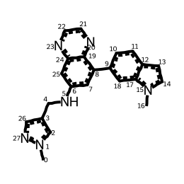 Cn1cc(CNc2cc(-c3ccc4ccn(C)c4c3)c3nccnc3c2)cn1